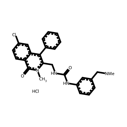 CNCc1cccc(NC(=O)NCc2c(-c3ccccc3)c3cc(Cl)ccc3c(=O)n2C)c1.Cl